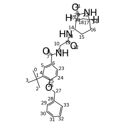 CC(C)(C)c1cc(C(=O)NCC(=O)N[C@H]2CC[C@@H]3C[C@@H]2C(=O)N3)ccc1OCc1ccccc1